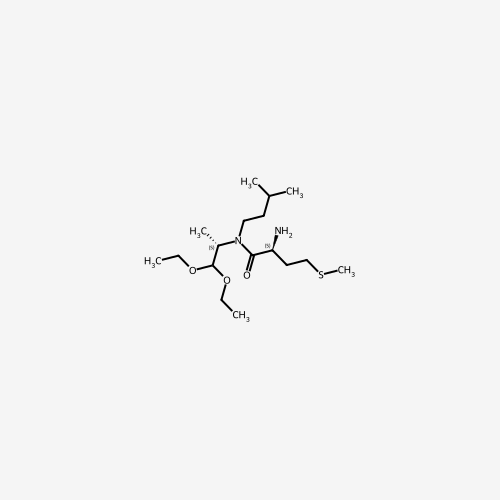 CCOC(OCC)[C@H](C)N(CCC(C)C)C(=O)[C@@H](N)CCSC